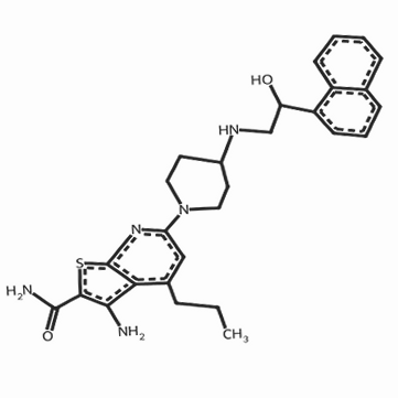 CCCc1cc(N2CCC(NCC(O)c3cccc4ccccc34)CC2)nc2sc(C(N)=O)c(N)c12